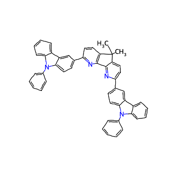 CC1(C)c2ccc(-c3ccc4c(c3)c3ccccc3n4-c3ccccc3)nc2-c2nc(-c3ccc4c(c3)c3ccccc3n4-c3ccccc3)ccc21